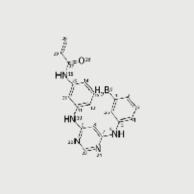 Bc1cccc(Nc2cc(Nc3cccc(NC(=O)C=C)c3)ncn2)c1